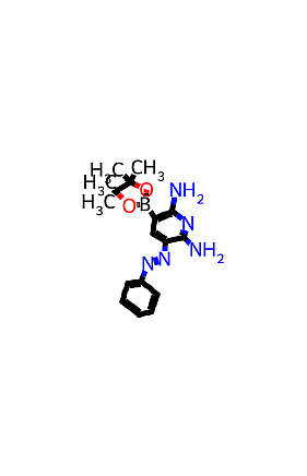 CC1(C)OB(c2cc(N=Nc3ccccc3)c(N)nc2N)OC1(C)C